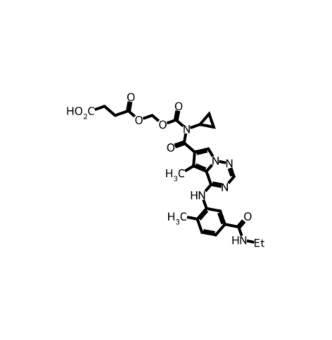 CCNC(=O)c1ccc(C)c(Nc2ncnn3cc(C(=O)N(C(=O)OCOC(=O)CCC(=O)O)C4CC4)c(C)c23)c1